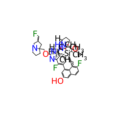 CC(C)[Si](C#Cc1c(F)ccc2cc(O)cc(-c3ccc4c(N5C[C@@H]6CC[C@](COC7CC7)(C5)N6)nc(OCC56CCCN5C/C(=C\F)C6)nc4c3F)c12)(C(C)C)C(C)C